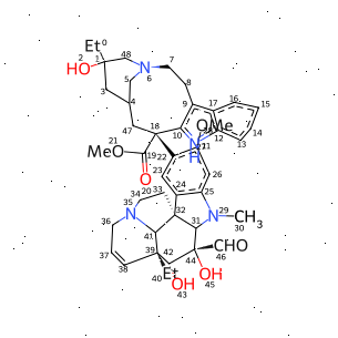 CCC1(O)CC2C[N@](CCc3c([nH]c4ccccc34)[C@@](C(=O)OC)(c3cc4c(cc3OC)N(C)C3[C@]45CCN4CC=C[C@](CC)(C45)[C@@H](O)[C@]3(O)C=O)C2)C1